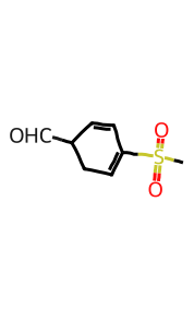 CS(=O)(=O)C1=CCC(C=O)C=C1